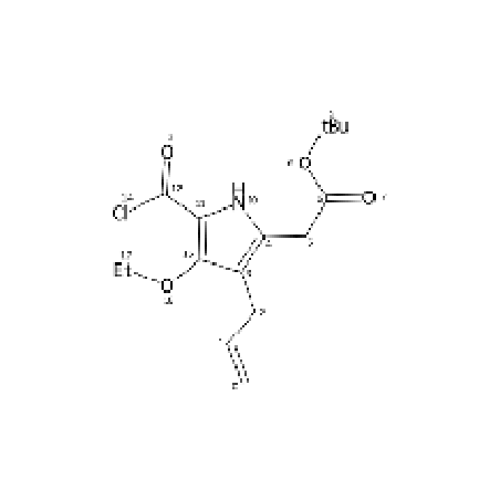 C=CCc1c(CC(=O)OC(C)(C)C)[nH]c(C(=O)Cl)c1OCC